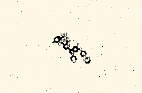 CC1CC2CC(C1)C(NC(=O)c1ccc(-c3cn(C4CCOCC4)c4cc(OC5CCN(c6ncccn6)CC5)c(F)cc34)nc1C(F)(F)F)(C(=O)O)C2